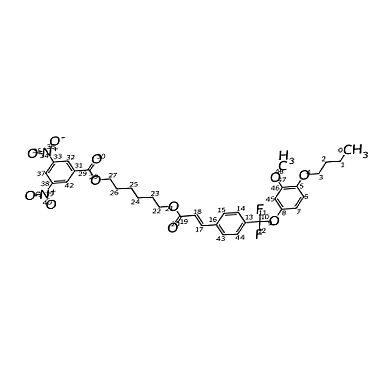 CCCCOc1ccc(OC(F)(F)c2ccc(C=CC(=O)OCCCCCCOC(=O)c3cc([N+](=O)[O-])cc([N+](=O)[O-])c3)cc2)cc1OC